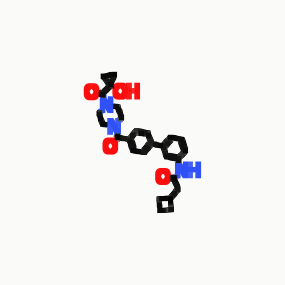 O=C(CC1CCC1)Nc1cccc(-c2ccc(C(=O)N3CCN(C(=O)C4(O)CC4)CC3)cc2)c1